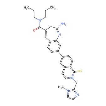 CCCN(CCC)C(=O)C1=Cc2ccc(-c3ccc4c(=S)n(Cc5nccn5C)ccc4c3)cc2N=C(N)C1